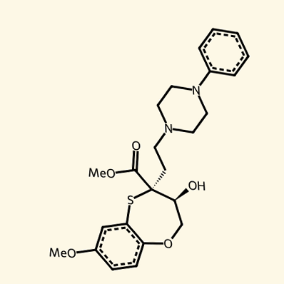 COC(=O)[C@]1(CCN2CCN(c3ccccc3)CC2)Sc2cc(OC)ccc2OC[C@@H]1O